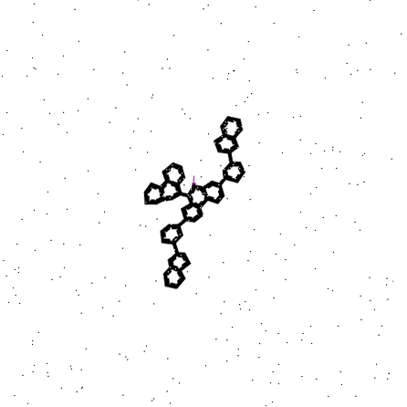 Ic1c(-c2cc3ccccc3c3ccccc23)c2cc(-c3cccc(-c4ccc5ccccc5c4)c3)ccc2c2ccc(-c3cccc(-c4ccc5ccccc5c4)c3)cc12